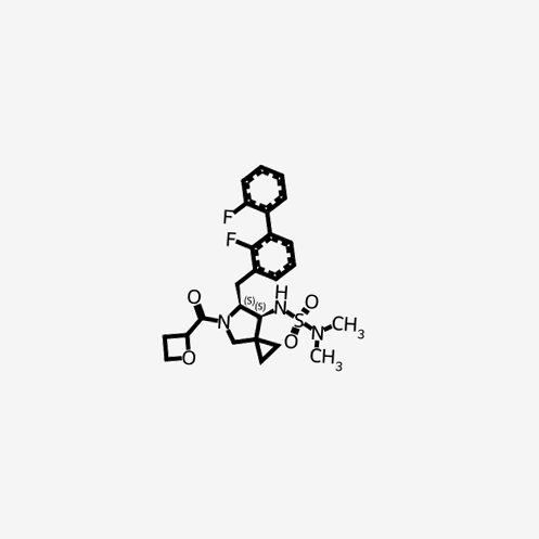 CN(C)S(=O)(=O)N[C@@H]1[C@H](Cc2cccc(-c3ccccc3F)c2F)N(C(=O)C2CCO2)CC12CC2